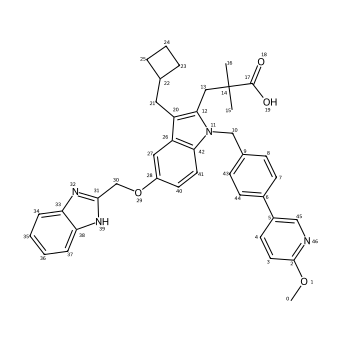 COc1ccc(-c2ccc(Cn3c(CC(C)(C)C(=O)O)c(CC4CCC4)c4cc(OCc5nc6ccccc6[nH]5)ccc43)cc2)cn1